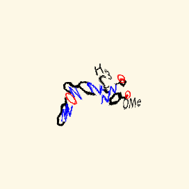 COC(=O)c1ccc2nc(C(C)N3CCC(c4cccc(OCc5cc6ccccn6n5)n4)CC3)n(C[C@@H]3CCO3)c2c1